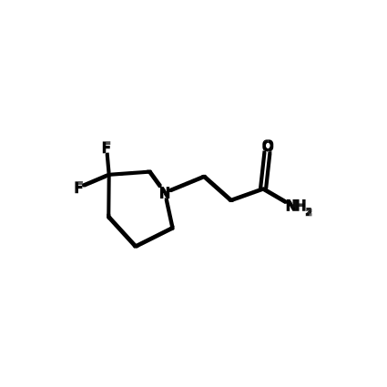 NC(=O)CCN1CCCC(F)(F)C1